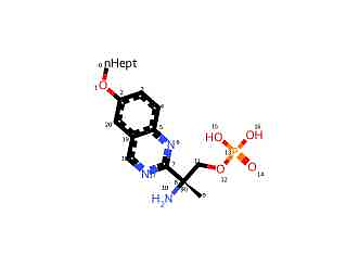 CCCCCCCOc1ccc2nc([C@@](C)(N)COP(=O)(O)O)ncc2c1